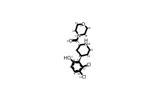 O=C([C@H]1C[C@H](c2c(O)ccc(Cl)c2Cl)CCN1)N1CCOCC1